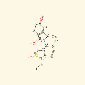 CCN1c2ccc(F)c(N3C(=O)C4=C(CC(=O)CC4)C3=O)c2C[S+]1[O-]